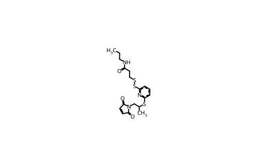 CCCNC(=O)CCSSc1cccc(SC(C)CN2C(=O)C=CC2=O)n1